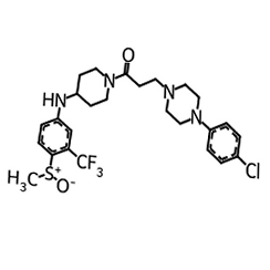 C[S+]([O-])c1ccc(NC2CCN(C(=O)CCN3CCN(c4ccc(Cl)cc4)CC3)CC2)cc1C(F)(F)F